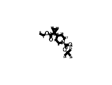 CCOC(=O)C1(C2CCN(C(=O)OC(C)(C)C)CC2)CC1